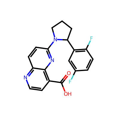 O=C(O)c1ccnc2ccc(N3CCCC3c3cc(F)ccc3F)nc12